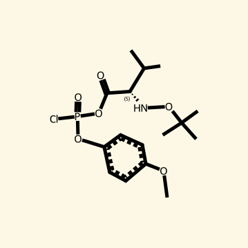 COc1ccc(OP(=O)(Cl)OC(=O)[C@@H](NOC(C)(C)C)C(C)C)cc1